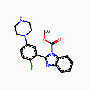 CC(C)(C)OC(=O)n1c(-c2cc(N3CCNCC3)ccc2F)nc2ccccc21